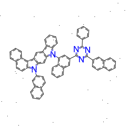 c1ccc(-c2nc(-c3ccc4ccccc4c3)nc(-c3cc(-n4c5ccccc5c5cc6c7c8ccccc8ccc7n(-c7ccc8ccccc8c7)c6cc54)c4ccccc4c3)n2)cc1